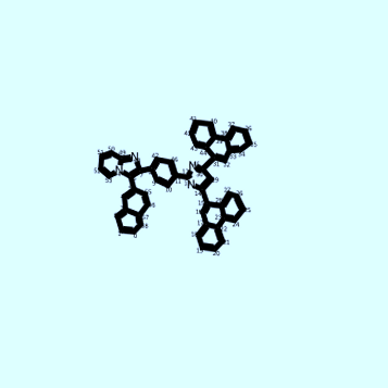 c1ccc2cc(-c3c(-c4ccc(-c5nc(-c6cc7ccccc7c7ccccc67)cc(-c6cc7ccccc7c7ccccc67)n5)cc4)nc4ccccn34)ccc2c1